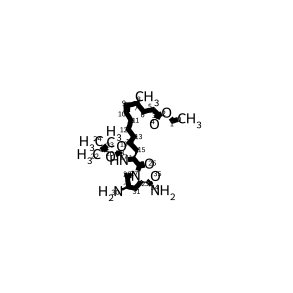 CCOC(=O)CC[C@H](C)/C=C\CCCCC[C@H](NC(=O)OC(C)(C)C)C(=O)N1C[C@H](N)C[C@H]1C(N)=O